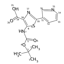 CC(C)(C)OC(=O)Nc1sc(-c2cccnc2)nc1C(=O)O